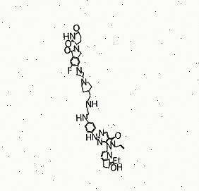 C=CCn1c(=O)c2cnc(Nc3ccc(NCCNCCC4CCN(C5CN(c6cc7c(cc6F)C(=O)N(C6CCC(=O)NC6=O)C7)C5)CC4)cc3)nc2n1-c1ccc2c(n1)[C@@](O)(CC)CC2